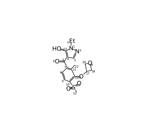 CCn1ncc(C(=O)c2ccc(S(C)(=O)=O)c(OC3COC3)c2C)c1O